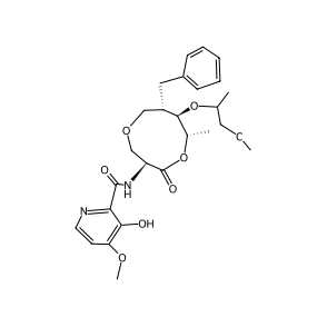 CCCC(C)O[C@@H]1[C@@H](Cc2ccccc2)COC[C@H](NC(=O)c2nccc(OC)c2O)C(=O)O[C@H]1C